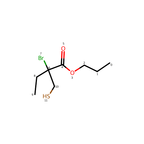 CCCOC(=O)C(Br)(CC)CS